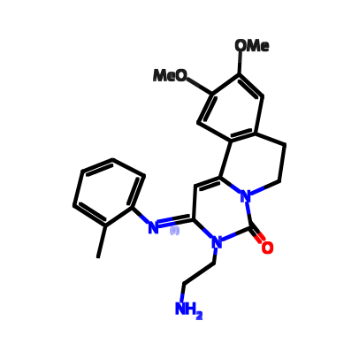 COc1cc2c(cc1OC)-c1c/c(=N\c3ccccc3C)n(CCN)c(=O)n1CC2